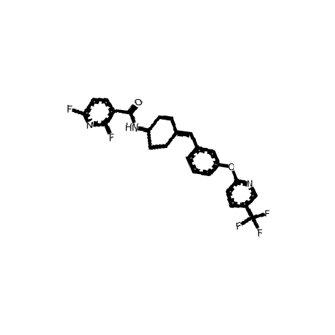 O=C(NC1CCC(=Cc2cccc(Oc3ccc(C(F)(F)F)cn3)c2)CC1)c1ccc(F)nc1F